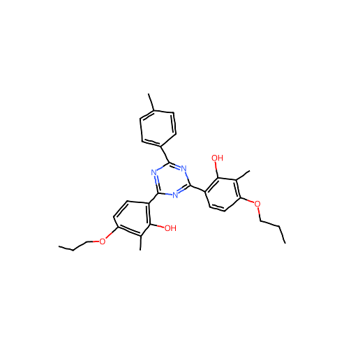 CCCOc1ccc(-c2nc(-c3ccc(C)cc3)nc(-c3ccc(OCCC)c(C)c3O)n2)c(O)c1C